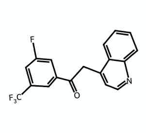 O=C(Cc1ccnc2ccccc12)c1cc(F)cc(C(F)(F)F)c1